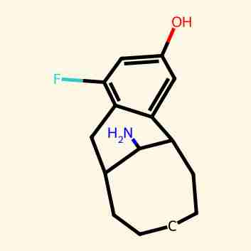 NC1C2CCCCCC1c1cc(O)cc(F)c1C2